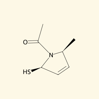 CC(=O)N1[C@H](S)C=C[C@@H]1C